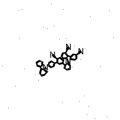 N#Cc1ccc2c(c1)c1c(C#N)cccc1n2-c1ccccc1-c1ccc(C#N)c(-c2ccc(-n3c4ccccc4c4ccccc43)cc2)c1